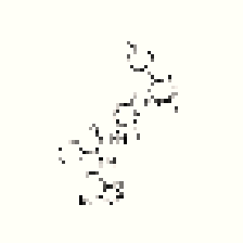 CCC(=O)N[C@H](Cc1ccc(NC(=O)[C@@H](NC(=O)c2nccn2CC)C2CCCCC2)c(F)c1)C(=O)N1CCN(C)CC1